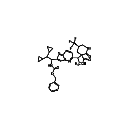 CC(c1ccc2nc([C@@H](NC(=O)OCc3ccccc3)C(C3CC3)C3CC3)cn2n1)C1(C(=O)O)C[C@@H](C(F)(F)F)CNC1=O